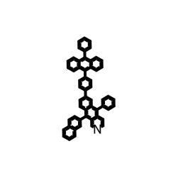 c1ccc(-c2c3ccccc3c(-c3ccc(-c4ccc5c(-c6ccc7ccccc7c6)c6cnccc6c(-c6ccccc6)c5c4)cc3)c3ccccc23)cc1